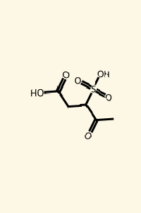 CC(=O)C(CC(=O)O)S(=O)(=O)O